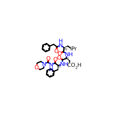 CC(C)C[C@H](NC(=O)Cc1ccccc1)C(=O)N[C@@H](CC(=O)O)C(=O)N[C@@H](Cc1ccccc1)C(=O)NC(=O)N1CCOCC1